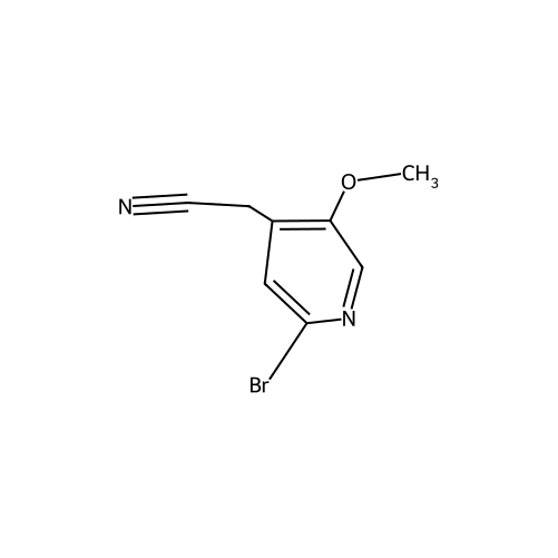 COc1cnc(Br)cc1CC#N